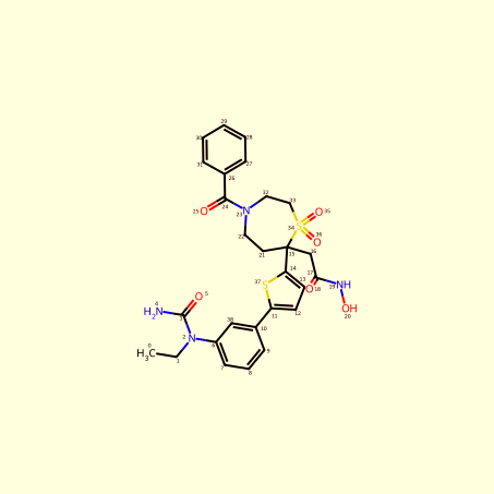 CCN(C(N)=O)c1cccc(-c2ccc(C3(CC(=O)NO)CCN(C(=O)c4ccccc4)CCS3(=O)=O)s2)c1